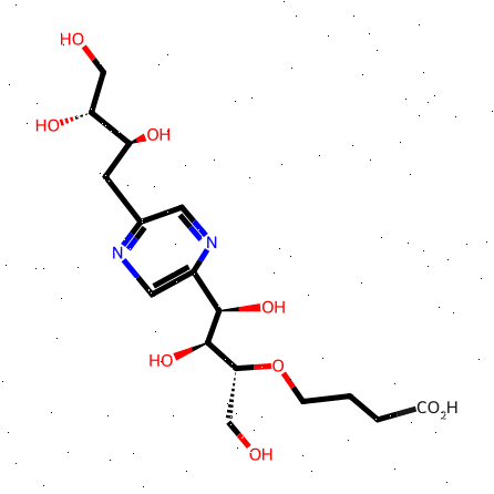 O=C(O)CCCO[C@H](CO)[C@@H](O)[C@H](O)c1cnc(C[C@H](O)[C@H](O)CO)cn1